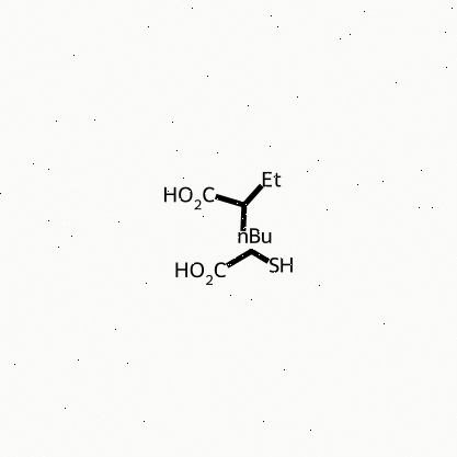 CCCCC(CC)C(=O)O.O=C(O)CS